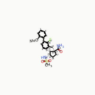 COc1ccccc1-c1cccc(C[C@]2(C(N)=O)CC[C@H](NS(C)(=O)=O)C2)c1F